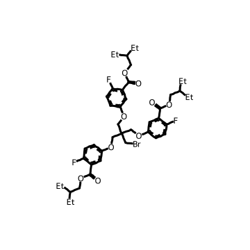 CCC(CC)COC(=O)c1cc(OCC(CBr)(COc2ccc(F)c(C(=O)OCC(CC)CC)c2)COc2ccc(F)c(C(=O)OCC(CC)CC)c2)ccc1F